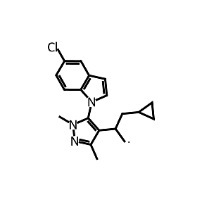 [CH2]C(CC1CC1)c1c(C)nn(C)c1-n1ccc2cc(Cl)ccc21